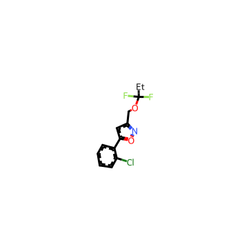 CCC(F)(F)OCc1cc(-c2ccccc2Cl)on1